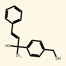 OCc1ccc(C(O)(/C=C/c2ccccc2)C(F)(F)F)cc1